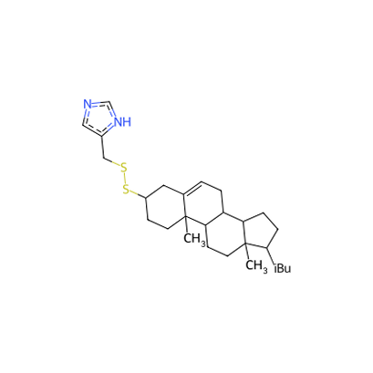 CCC(C)C1CCC2C3CC=C4CC(SSCc5cnc[nH]5)CCC4(C)C3CCC12C